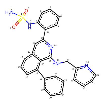 NS(=O)(=O)Nc1ccccc1-c1cc2cccc(-c3ccccc3)c2c(NCc2ccccn2)n1